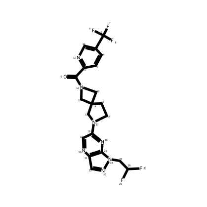 O=C(c1ccc(C(F)(F)F)cn1)N1CC2(CCN(c3cnc4cnn(CC(F)F)c4n3)C2)C1